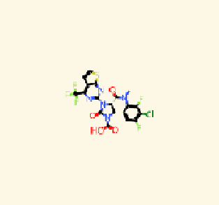 CN(C(=O)[C@@H]1CN(C(=O)O)C(=O)N1c1nc(C(F)(F)F)c2ccsc2n1)c1ccc(F)c(Cl)c1F